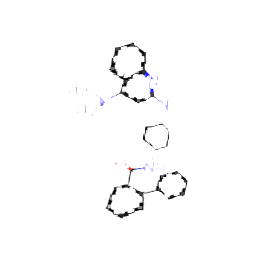 CN(C)c1cc(N[C@H]2CC[C@@H](NC(=O)c3ccccc3-c3ccccc3)CC2)nc2ccccc12